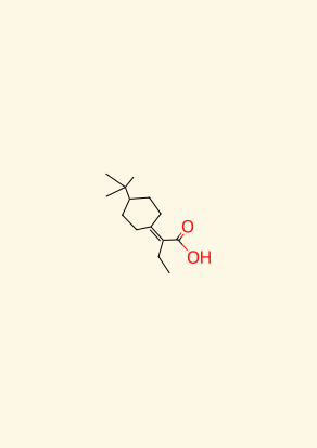 CCC(C(=O)O)=C1CCC(C(C)(C)C)CC1